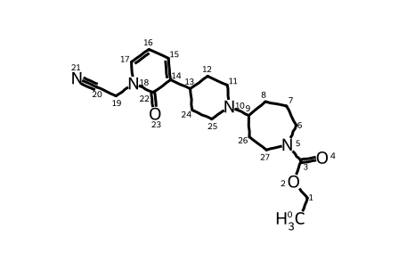 CCOC(=O)N1CCCC(N2CCC(c3cccn(CC#N)c3=O)CC2)CC1